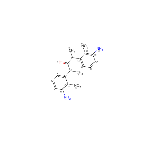 CC(C(=O)C(C)c1cccc(N)c1[N+](=O)[O-])c1cccc(N)c1[N+](=O)[O-]